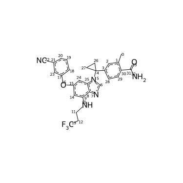 Cc1cc(C2(n3cnc4c(NCCC(F)(F)F)cc(Oc5cccc(C#N)c5)cc43)CC2)ccc1C(N)=O